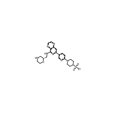 CCS(=O)(=O)N1CCN(c2ccc(-c3cc4nccnc4c(NC[C@@H]4CNCCO4)n3)cn2)CC1